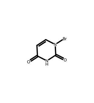 O=c1ccn(Br)c(=O)[nH]1